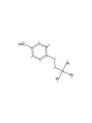 CC(C)[Si](CCc1ccc(C=O)cn1)(C(C)C)C(C)C